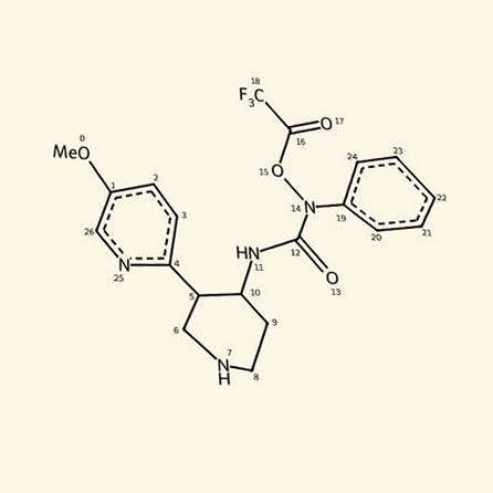 COc1ccc(C2CNCCC2NC(=O)N(OC(=O)C(F)(F)F)c2ccccc2)nc1